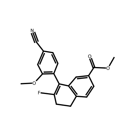 COC(=O)c1ccc2c(c1)C(c1ccc(C#N)cc1OC)=C(F)CC2